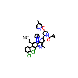 Cc1ccnc(OC2CC(c3cc4c(C)nc5c(F)c(-c6cccc(Cl)c6Cl)c(CCC#N)cc5c4n3C3C4CNC3C4)N(C(=O)C3CC3)C2)c1